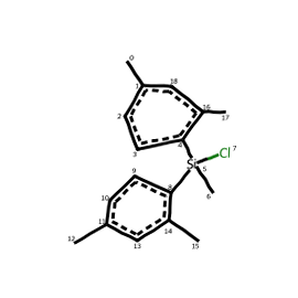 Cc1ccc([Si](C)(Cl)c2ccc(C)cc2C)c(C)c1